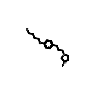 FCCCCOc1ccc(CCCN2CC[C@@H](F)C2)cc1